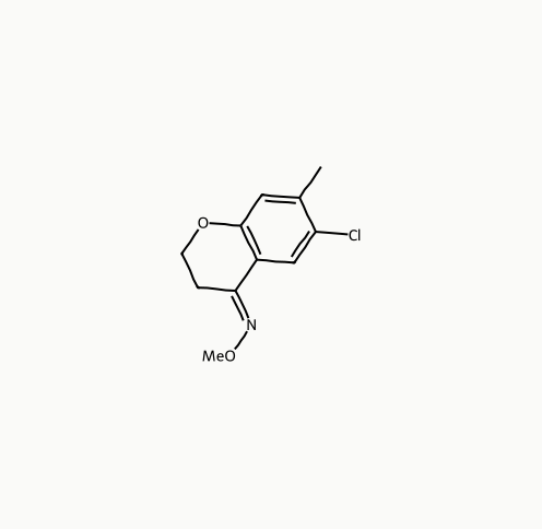 CON=C1CCOc2cc(C)c(Cl)cc21